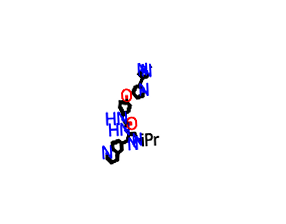 CC(C)n1cc(NC(=O)Nc2ccc(Oc3ccnc(-c4cnn(C)c4)c3)cc2)c(-c2ccc3ncccc3c2)n1